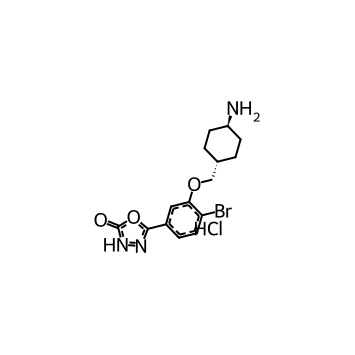 Cl.N[C@H]1CC[C@H](COc2cc(-c3n[nH]c(=O)o3)ccc2Br)CC1